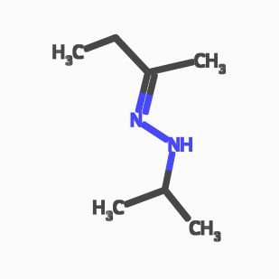 CCC(C)=NNC(C)C